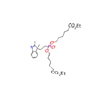 CCOC(=O)CCCCCOP(=O)(CCC1(C)C(C)=Nc2ccccc21)OCCCCCC(=O)OCC